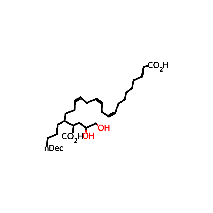 CCCCCCCCCCCCCC(CC/C=C\C/C=C\C/C=C\CCCCCCCC(=O)O)C(CC(O)CO)C(=O)O